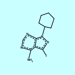 Nc1ncnc2c1c(I)nn2C1CCCCC1